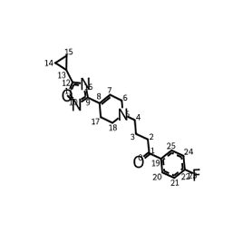 O=C(CCCN1CC=C(c2noc(C3CC3)n2)CC1)c1ccc(F)cc1